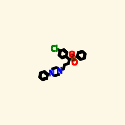 O=S(=O)(c1ccccc1)C(CCCN1CCN(c2ccccc2)CC1)c1ccc(Cl)cc1